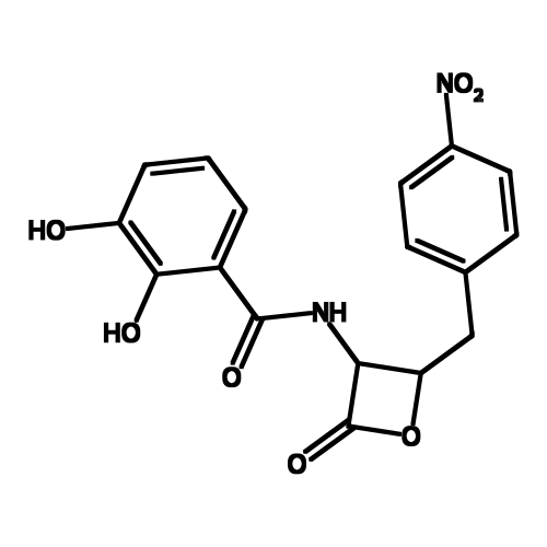 O=C(NC1C(=O)OC1Cc1ccc([N+](=O)[O-])cc1)c1cccc(O)c1O